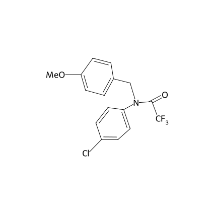 COc1ccc(CN(C(=O)C(F)(F)F)c2ccc(Cl)cc2)cc1